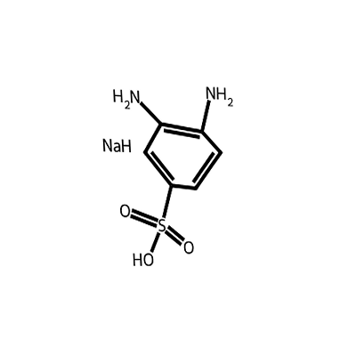 Nc1ccc(S(=O)(=O)O)cc1N.[NaH]